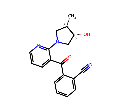 C[C@H]1CN(c2ncccc2C(=O)c2ccccc2C#N)C[C@H]1O